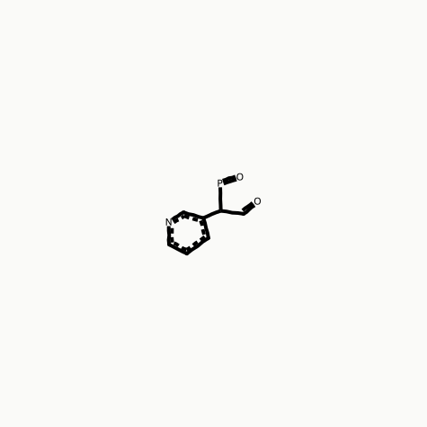 O=CC(P=O)c1cccnc1